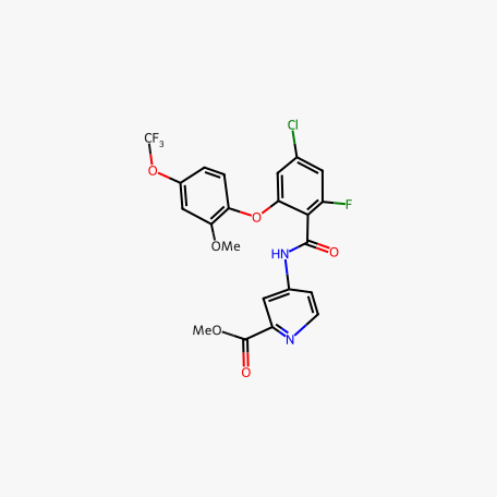 COC(=O)c1cc(NC(=O)c2c(F)cc(Cl)cc2Oc2ccc(OC(F)(F)F)cc2OC)ccn1